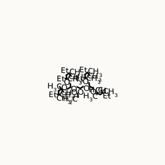 C=CC(=O)OC(COC(COC(C)(C)CC(C)(C)CC)COC(C)(CC)CC(C)(C)CC)COC(COC(C)(C)CC(C)(C)CC)COC(C)(CC)CC(C)(C)CC